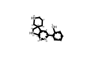 Oc1ccccc1-c1cc2c(nn1)NCC21CCCNC1